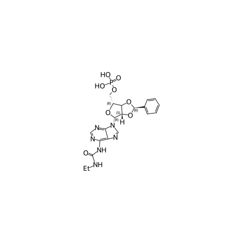 CCNC(=O)Nc1ncnc2c1ncn2[C@@H]1O[C@H](COP(=O)(O)O)C2O[C@@H](c3ccccc3)O[C@@H]21